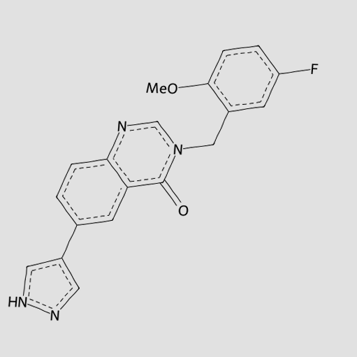 COc1ccc(F)cc1Cn1cnc2ccc(-c3cn[nH]c3)cc2c1=O